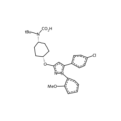 COc1ccccc1-n1nc(O[C@H]2CC[C@@H](N(C(=O)O)C(C)(C)C)CC2)cc1-c1ccc(Cl)cc1